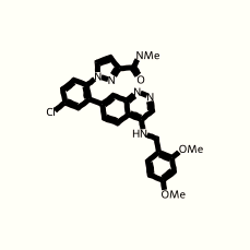 CNC(=O)c1ccn(-c2ccc(Cl)cc2-c2ccc3c(NCc4ccc(OC)cc4OC)cnnc3c2)n1